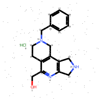 Cl.OCc1nc2c(c3c1CCN(Cc1ccccc1)C3)CNC2